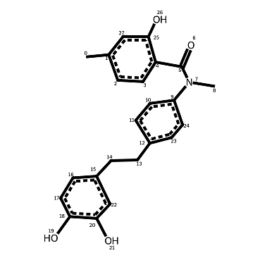 Cc1ccc(C(=O)N(C)c2ccc(CCc3ccc(O)c(O)c3)cc2)c(O)c1